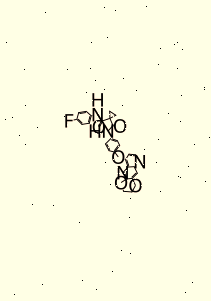 O=C(Nc1ccc(F)cc1)C1(C(=O)Nc2ccc(Oc3ccnc4cc5c(nc34)OCCO5)cc2)CC1